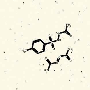 Cc1ccc(S(=O)(=O)NNC(N)=O)cc1.NC(=O)N=NC(N)=O